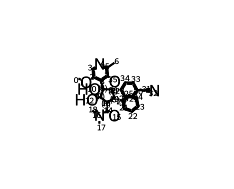 COc1cnc(C)c2c1[C@]1(O)[C@H](O)[C@H](C(=O)N(C)C)[C@@H](c3ccccc3)[C@]1(c1ccc(C#N)cc1)O2